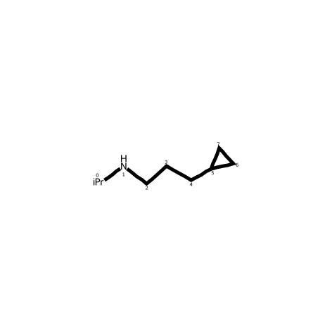 CC(C)NCCCC1CC1